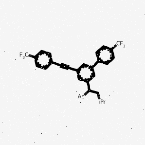 CC(=O)C(CC(C)C)c1cc(C#Cc2ccc(C(F)(F)F)cc2)cc(-c2ccc(C(F)(F)F)cc2)c1